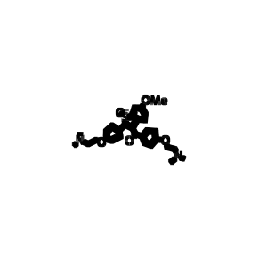 COc1ccc2c(C(=O)c3ccc(OCCN(C)C)cc3)c(-c3ccc(OCCN(C)C)cc3)[s+]([O-])c2c1